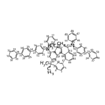 CC1(C)c2ccccc2-c2c1cc(N(c1ccccc1)c1ccc(-c3ccc(-c4ccccc4)cc3)cc1)c1c2-c2c(cc(N(c3ccccc3)c3ccc(-c4ccccc4)cc3)c3ccccc23)C1(C)C